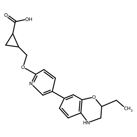 CCC1CNc2ccc(-c3ccc(OCC4CC4C(=O)O)nc3)cc2O1